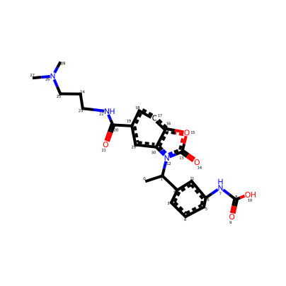 CC(c1cccc(NC(=O)O)c1)n1c(=O)oc2ccc(C(=O)NCCCN(C)C)cc21